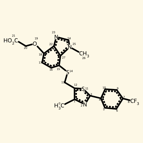 Cc1nc(-c2ccc(C(F)(F)F)cc2)sc1CSc1ccc(OCC(=O)O)c2ncn(C)c12